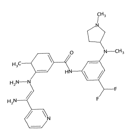 CC1CC=C(C(=O)Nc2cc(C(F)F)cc(N(C)C3CCN(C)C3)c2)C=C1N(N)/C=C(\N)c1cccnc1